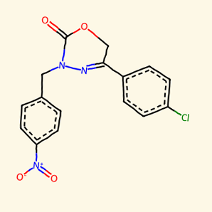 O=C1OCC(c2ccc(Cl)cc2)=NN1Cc1ccc([N+](=O)[O-])cc1